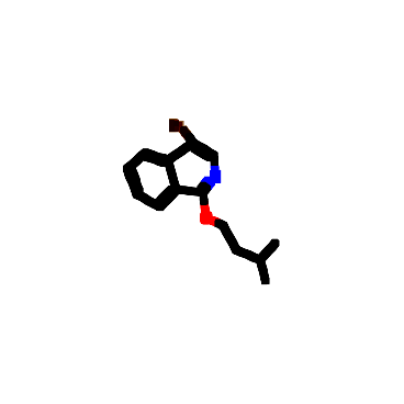 CC(C)CCOc1ncc(Br)c2ccccc12